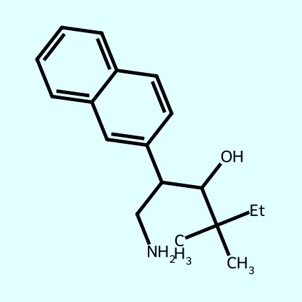 CCC(C)(C)C(O)C(CN)c1ccc2ccccc2c1